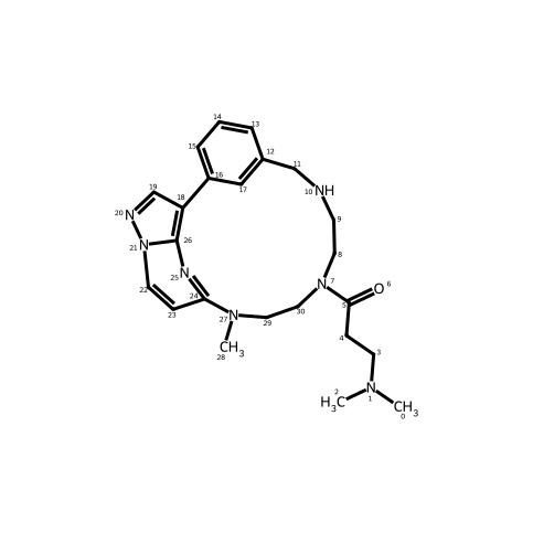 CN(C)CCC(=O)N1CCNCc2cccc(c2)-c2cnn3ccc(nc23)N(C)CC1